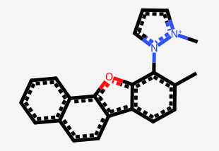 Cc1ccc2c(oc3c4ccccc4ccc23)c1-n1ccc[n+]1C